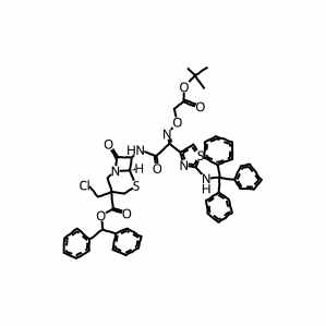 CC(C)(C)OC(=O)CON=C(C(=O)NC1C(=O)N2CC(CCl)(C(=O)OC(c3ccccc3)c3ccccc3)CS[C@H]12)c1csc(NC(c2ccccc2)(c2ccccc2)c2ccccc2)n1